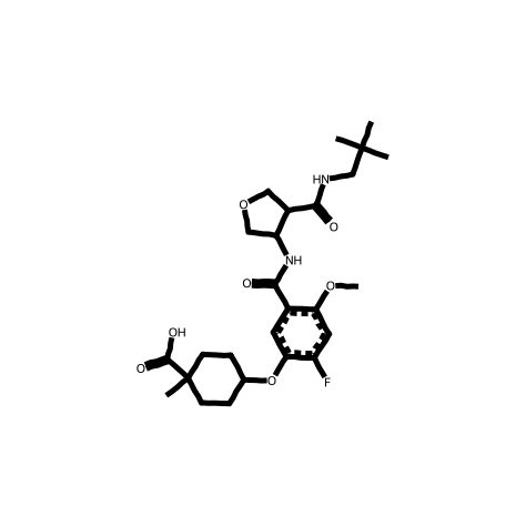 COc1cc(F)c(OC2CCC(C)(C(=O)O)CC2)cc1C(=O)NC1COCC1C(=O)NCC(C)(C)C